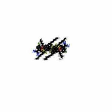 CCCCCCc1ccc(C2(c3ccc(CCCCCC)cc3)c3c(sc4c(CCCCCC)c(/C=C5\C(=O)c6cc(F)ccc6C5=C(C#N)C#N)sc34)-c3sc4c5c(sc4c32)-c2sc3c(CCCCCC)c(/C=C4\C(=O)c6ccc(F)cc6C4=C(C#N)C#N)sc3c2C5(c2ccc(CCCCCC)cc2)c2ccc(CCCCCC)cc2)cc1